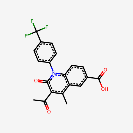 CC(=O)c1c(C)c2cc(C(=O)O)ccc2n(-c2ccc(C(F)(F)F)cc2)c1=O